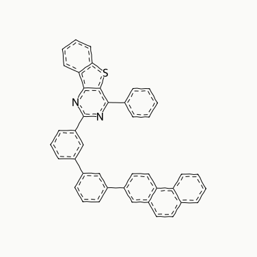 c1ccc(-c2nc(-c3cccc(-c4cccc(-c5ccc6c(ccc7ccccc76)c5)c4)c3)nc3c2sc2ccccc23)cc1